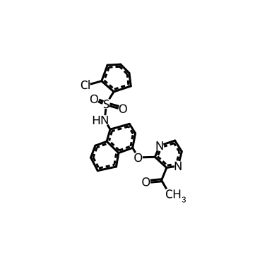 CC(=O)c1nccnc1Oc1ccc(NS(=O)(=O)c2ccccc2Cl)c2ccccc12